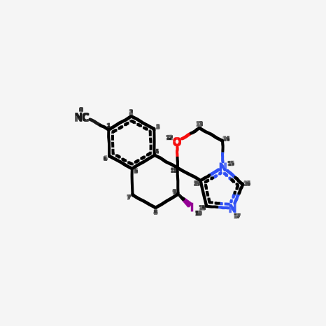 N#Cc1ccc2c(c1)CC[C@H](I)C21OCCn2cncc21